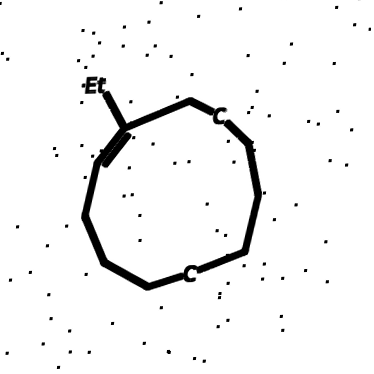 C[CH]/C1=C/CCCCCCCCC1